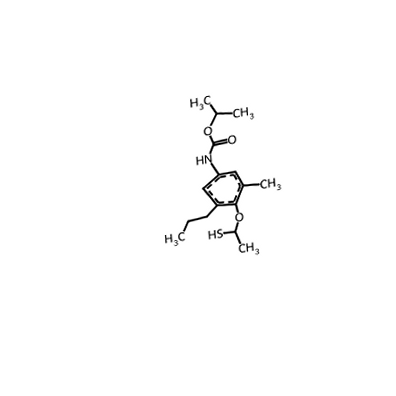 CCCc1cc(NC(=O)OC(C)C)cc(C)c1OC(C)S